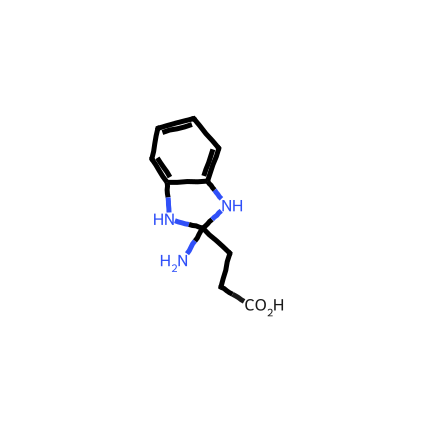 NC1(CCC(=O)O)Nc2ccccc2N1